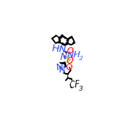 CC(CC(F)(F)F)[C@@H]1COc2c([S@](N)(=O)=NC(=O)Nc3c4c(cc5c3CCC5)CCC4)cnn2C1